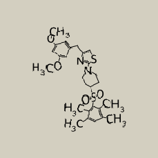 COc1cc(Cc2csc(N3CCC(S(=O)(=O)c4c(C)c(C)cc(C)c4C)CC3)n2)cc(OC)c1